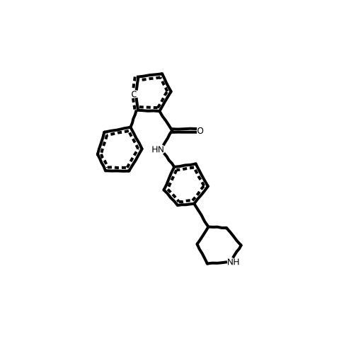 O=C(Nc1ccc(C2CCNCC2)cc1)c1ccccc1-c1ccccc1